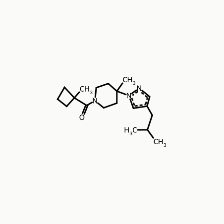 CC(C)Cc1cnn(C2(C)CCN(C(=O)C3(C)CCC3)CC2)c1